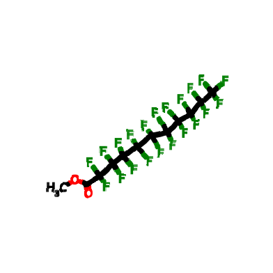 COC(=O)C(F)(F)C(F)(F)C(F)(F)C(F)(F)C(F)(F)C(F)(F)C(F)(F)C(F)(F)C(F)(F)C(F)(F)F